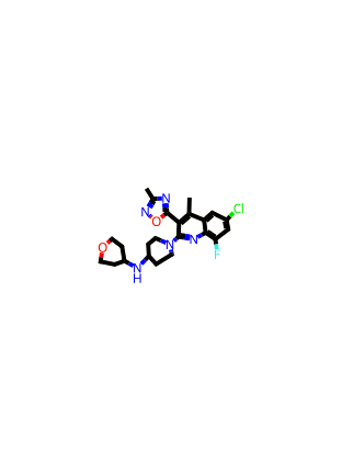 Cc1noc(-c2c(N3CCC(NC4CCOCC4)CC3)nc3c(F)cc(Cl)cc3c2C)n1